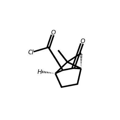 CC12C[C@@]13CC[C@@H]2C(C(=O)Cl)C3=O